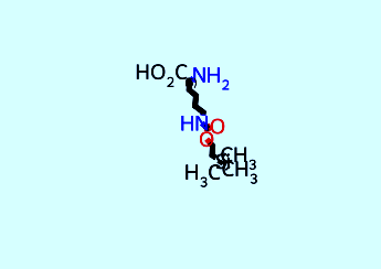 C[Si](C)(C)CCOC(=O)NCCCC[C@H](N)C(=O)O